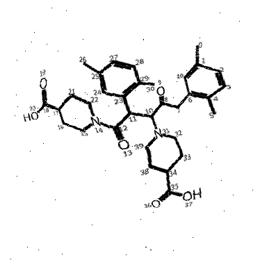 Cc1ccc(C)c(CC(=O)C(C(C(=O)N2CCC(C(=O)O)CC2)c2cc(C)ccc2C)N2CCC(C(=O)O)CC2)c1